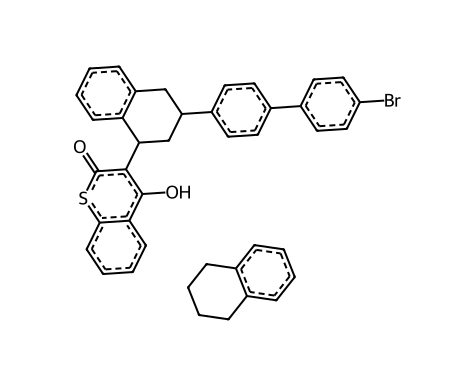 O=c1sc2ccccc2c(O)c1C1CC(c2ccc(-c3ccc(Br)cc3)cc2)Cc2ccccc21.c1ccc2c(c1)CCCC2